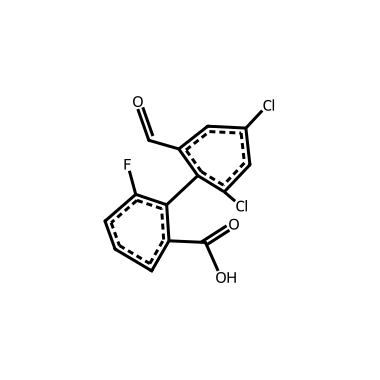 O=Cc1cc(Cl)cc(Cl)c1-c1c(F)cccc1C(=O)O